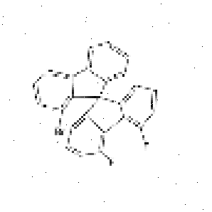 Fc1cccc2c1-c1c(F)cccc1C21c2ccccc2-c2cccc(Br)c21